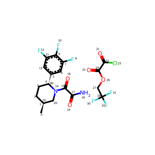 C[C@H]1CC[C@H](c2cc(F)c(F)c(F)c2)N(C(=O)C(N)=O)C1.O=C(Cl)C(=O)OCC(F)(F)F